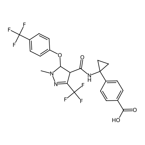 CN1N=C(C(F)(F)F)C(C(=O)NC2(c3ccc(C(=O)O)cc3)CC2)C1Oc1ccc(C(F)(F)F)cc1